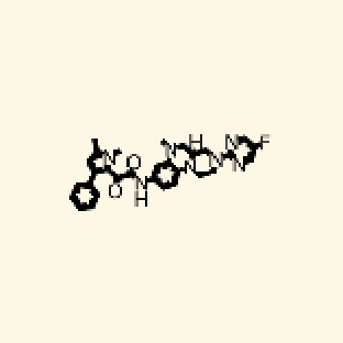 Cc1cc(-c2ccccc2)c(C(=O)C(=O)Nc2ccc3c(c2)N(C)C[C@H]2CN(c4ncc(F)cn4)CCN32)n1C